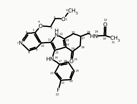 COCCOc1cnccc1-c1[nH]c2c(c1Nc1cccc(F)c1)C(=O)CC(CNC(C)=O)C2